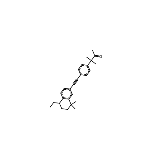 CCC1CCC(C)(C)c2cc(C#Cc3ccc(C(C)(C)C(C)=O)cc3)ccc21